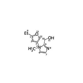 CCc1cc([N+]2(C)C=CN=C2CO)co1